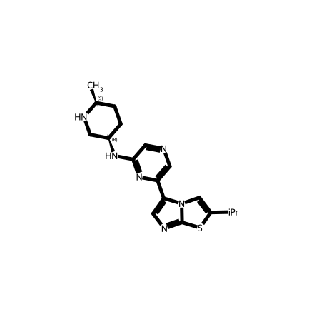 CC(C)c1cn2c(-c3cncc(N[C@@H]4CC[C@H](C)NC4)n3)cnc2s1